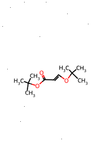 CC(C)(C)OC=CC(=O)OC(C)(C)C